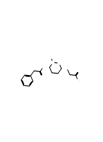 O=C(O)CC[C@@H]1CC[C@H](NC(=O)Cc2ccccc2)B(O)O1